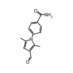 Cc1cc(C=O)c(C)n1-c1ccc(C(N)=O)cc1